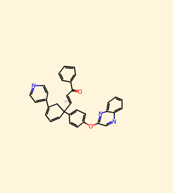 O=C(/C=C/C1(c2ccc(Oc3cnc4ccccc4n3)cc2)C=CC=C(c2ccncc2)C1)c1ccccc1